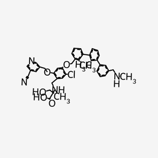 CNCc1cccc(-c2cccc(-c3cccc(COc4cc(OCc5cncc(C#N)c5)c(CNC(C)(CO)C(=O)O)cc4Cl)c3C)c2C)c1